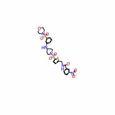 O=C(NCc1ccc(S(=O)(=O)N2CCC(Nc3cccc(S(=O)(=O)N4CCOCC4)c3)CC2)s1)c1cccc([N+](=O)[O-])c1